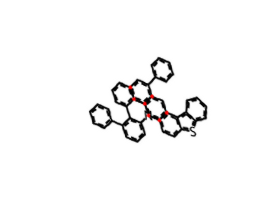 c1ccc(-c2cccc(N(c3ccc4sc5ccccc5c4c3)c3cccc(-c4ccccc4)c3-c3ccccc3-c3ccccc3)c2)cc1